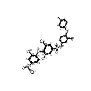 Cc1ccc(Oc2ccc(NS(=O)(=O)c3cc(Cl)c(Oc4ccc([N+](=O)[O-])cc4Cl)c(Cl)c3)cc2Br)cc1